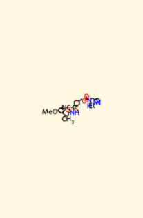 CCn1nccc1CNC(=O)OCC1CCc2c(sc(NC(=O)CC(C)c3cccc(OC)c3)c2C#N)C1